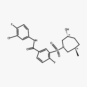 C[C@@H]1CC[C@@H](O)CN(S(=O)(=O)c2cc(C(=O)Nc3ccc(F)c(Cl)c3)ccc2F)C1